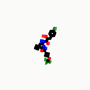 O=C(NCCC1(c2nnc([C@H]3C[C@@H](OC(F)(F)F)C3)o2)CCC1)C(O)Cc1ccc(Cl)cc1